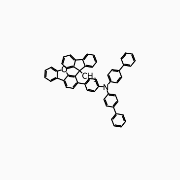 CC1(c2c(-c3ccc(N(c4ccc(-c5ccccc5)cc4)c4ccc(-c5ccccc5)cc4)cc3)ccc3c2oc2ccccc23)c2ccccc2-c2ccccc21